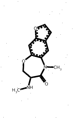 CNC1COc2cc3occc3cc2N(C)C1=O